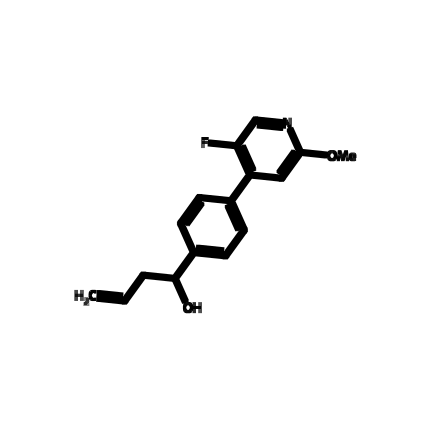 C=CCC(O)c1ccc(-c2cc(OC)ncc2F)cc1